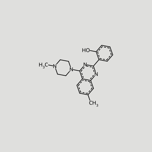 Cc1ccc2c(N3CCN(C)CC3)nc(-c3ccccc3O)nc2c1